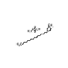 CCCCCCCCCCCCCCCCN1C=CN(C)C1.COS(=O)(=O)O